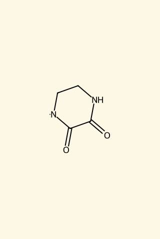 O=C1[N]CCNC1=O